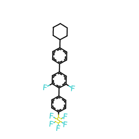 Fc1cc(-c2ccc(C3CCCCC3)cc2)cc(F)c1-c1ccc(S(F)(F)(F)(F)F)cc1